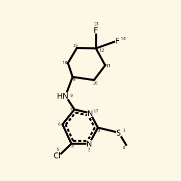 CSc1nc(Cl)cc(NC2CCC(F)(F)CC2)n1